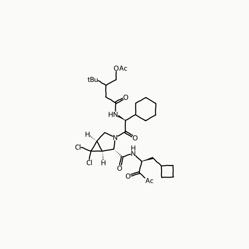 CC(=O)OCC(CC(=O)N[C@H](C(=O)N1C[C@H]2[C@@H]([C@H]1C(=O)N[C@@H](CC1CCC1)C(=O)C(C)=O)C2(Cl)Cl)C1CCCCC1)C(C)(C)C